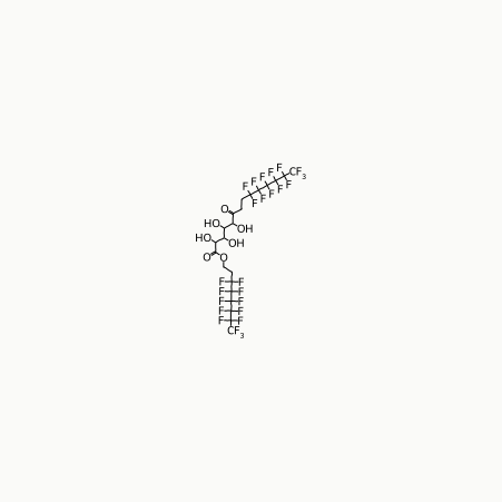 O=C(CCC(F)(F)C(F)(F)C(F)(F)C(F)(F)C(F)(F)C(F)(F)F)C(O)C(O)C(O)C(O)C(=O)OCCC(F)(F)C(F)(F)C(F)(F)C(F)(F)C(F)(F)C(F)(F)F